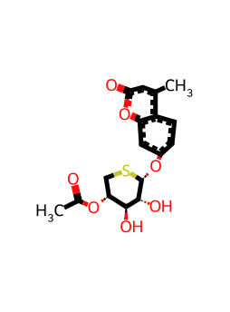 CC(=O)O[C@@H]1CS[C@H](Oc2ccc3c(C)cc(=O)oc3c2)[C@H](O)[C@H]1O